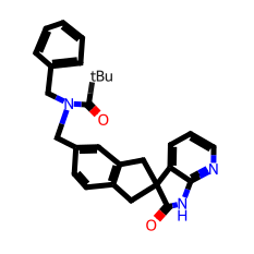 CC(C)(C)C(=O)N(Cc1ccccc1)Cc1ccc2c(c1)CC1(C2)C(=O)Nc2ncccc21